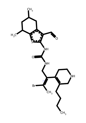 CCCCC1=C(/C(CNC(=O)Nc2sc3c(c2C=O)CC(C)CC3C)=C(\C)Br)CCNC1